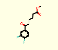 COC(=O)CCCCC(=O)c1ccc(F)c(F)c1